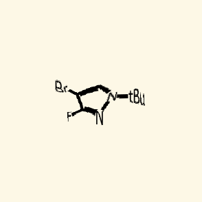 CC(C)(C)n1cc(Br)c(F)n1